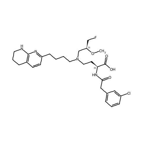 CO[C@H](CF)CN(CCCCc1ccc2c(n1)NCCC2)CC[C@H](NC(=O)Cc1cccc(Cl)c1)C(=O)O